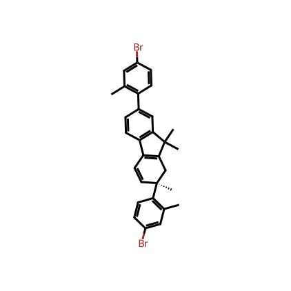 Cc1cc(Br)ccc1-c1ccc2c(c1)C(C)(C)C1=C2C=C[C@](C)(c2ccc(Br)cc2C)C1